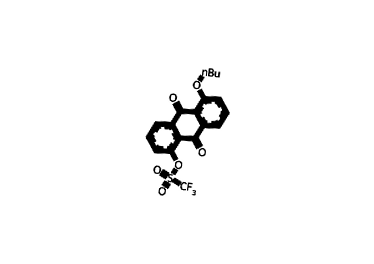 CCCCOc1cccc2c1C(=O)c1cccc(OS(=O)(=O)C(F)(F)F)c1C2=O